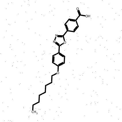 CCCCCCCCOc1ccc(-c2nnc(-c3ccc(C(=O)O)cc3)o2)cc1